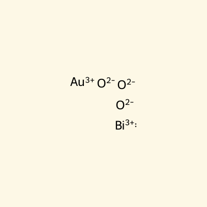 [Au+3].[Bi+3].[O-2].[O-2].[O-2]